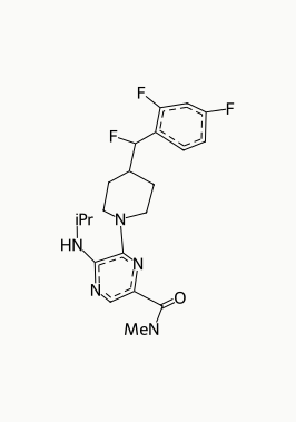 CNC(=O)c1cnc(NC(C)C)c(N2CCC(C(F)c3ccc(F)cc3F)CC2)n1